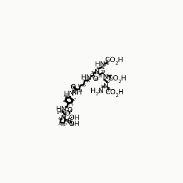 C[C@@H](NC(=O)c1ccc(NNC(=O)CCCCCNC(=O)CN(CCNCC(=O)O)CCN(CCN(CN)CC(=O)O)CC(=O)O)cc1)C(=O)N1CCC[C@H]1B(O)O